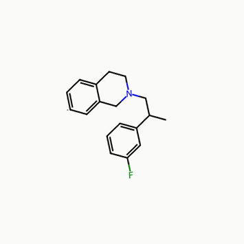 CC(CN1CCc2cc[c]cc2C1)c1cccc(F)c1